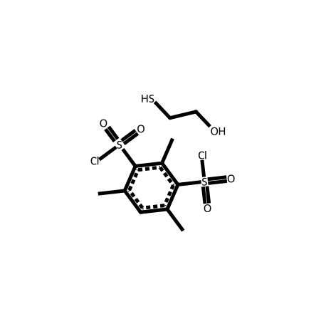 Cc1cc(C)c(S(=O)(=O)Cl)c(C)c1S(=O)(=O)Cl.OCCS